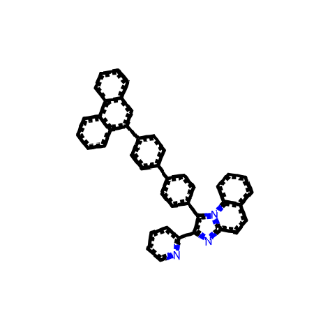 c1ccc(-c2nc3ccc4ccccc4n3c2-c2ccc(-c3ccc(-c4cc5ccccc5c5ccccc45)cc3)cc2)nc1